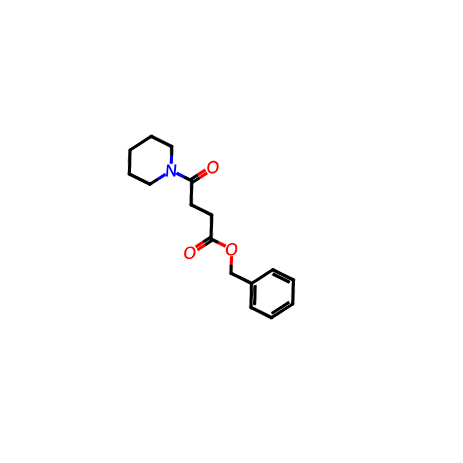 O=C(CCC(=O)N1CCCCC1)OCc1ccccc1